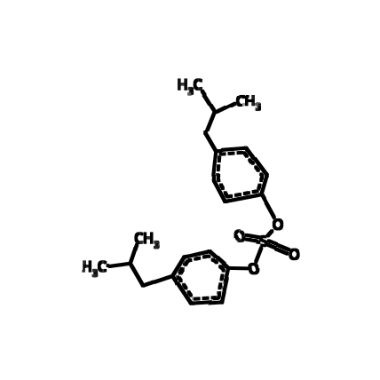 CC(C)Cc1ccc(OS(=O)(=O)Oc2ccc(CC(C)C)cc2)cc1